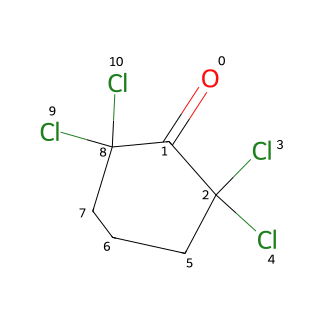 O=C1C(Cl)(Cl)CCCC1(Cl)Cl